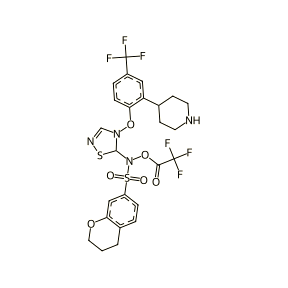 O=C(ON(C1SN=CN1Oc1ccc(C(F)(F)F)cc1C1CCNCC1)S(=O)(=O)c1ccc2c(c1)OCCC2)C(F)(F)F